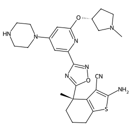 CN1CC[C@@H](Oc2cc(N3CCNCC3)cc(-c3noc([C@@]4(C)CCCc5sc(N)c(C#N)c54)n3)n2)C1